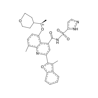 Cc1c(-c2cc(C(=O)NS(=O)(=O)c3ccn[nH]3)c3c(O[C@H](C)C4CCOCC4)ccc(C)c3n2)oc2ccccc12